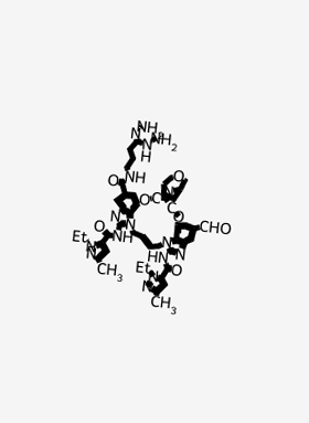 CCn1nc(C)cc1C(=O)Nc1nc2cc(C=O)cc3c2n1C/C=C/Cn1c(NC(=O)c2cc(C)nn2CC)nc2cc(C(=O)NCCC/C(=N/N)NN)cc(c21)OCC(N1C2CCC1COC2)CO3